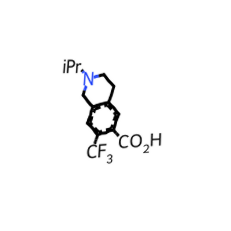 CC(C)N1CCc2cc(C(=O)O)c(C(F)(F)F)cc2C1